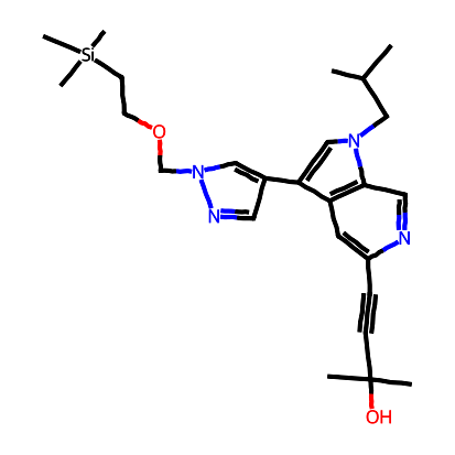 CC(C)Cn1cc(-c2cnn(COCC[Si](C)(C)C)c2)c2cc(C#CC(C)(C)O)ncc21